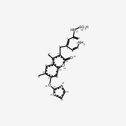 C=C(/C=C(\C=C/N)Cc1c(C)c2cc(C)c(Oc3nccs3)cc2oc1=O)NS(=O)(=O)O